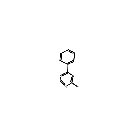 Fc1n[c]nc(-c2ccccc2)n1